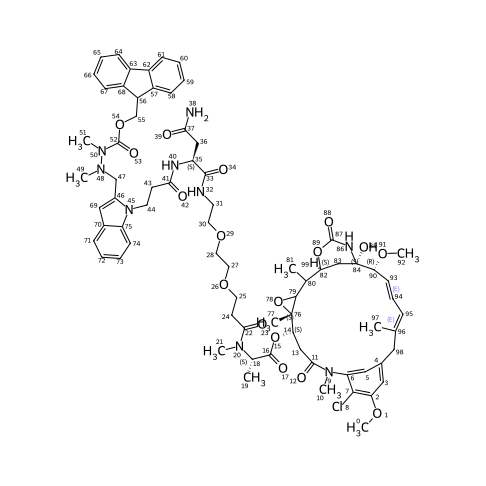 COc1cc2cc(c1Cl)N(C)C(=O)C[C@H](OC(=O)[C@H](C)N(C)C(=O)CCOCCOCCNC(=O)[C@H](CC(N)=O)NC(=O)CCn1c(CN(C)N(C)C(=O)OCC3c4ccccc4-c4ccccc43)cc3ccccc31)[C@]1(C)OC1C(C)[C@@H]1C[C@@](O)(NC(=O)O1)[C@H](OC)/C=C/C=C(\C)C2